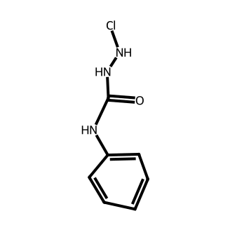 O=C(NNCl)Nc1ccccc1